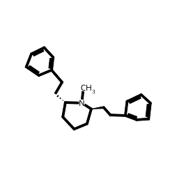 CN1[C@@H](CCc2ccccc2)CCC[C@@H]1CCc1ccccc1